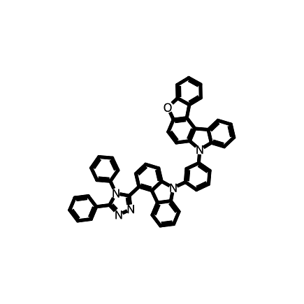 c1ccc(-c2nnc(-c3cccc4c3c3ccccc3n4-c3cccc(-n4c5ccccc5c5c6c(ccc54)oc4ccccc46)c3)n2-c2ccccc2)cc1